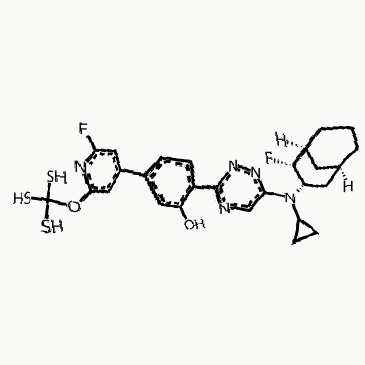 Oc1cc(-c2cc(F)nc(OC(S)(S)S)c2)ccc1-c1ncc(N(C2CC2)[C@H]2C[C@@H]3CCC[C@@H](C3)[C@H]2F)nn1